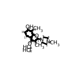 Cc1c(N2CCN(C)CC2)oc2c(C)c(O)ccc2c1=O.Cl.Cl